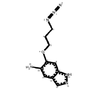 [N-]=[N+]=NCCCOc1cc2[nH]ncc2cc1N